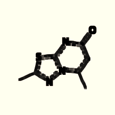 Cc1nn2c(C)cc(=O)nc2s1